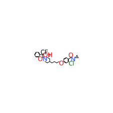 CN(C(=O)c1ccc(OCCCCC2CCN(C(=O)C(O)(c3ccccc3)C(F)(F)F)CC2)cc1Cl)C1CC1